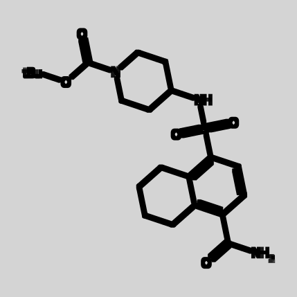 CC(C)(C)OC(=O)N1CCC(NS(=O)(=O)c2ccc(C(N)=O)c3c2CCCC3)CC1